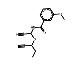 C#CC(CC)OC(C#N)NC(=O)c1cccc(OC)c1